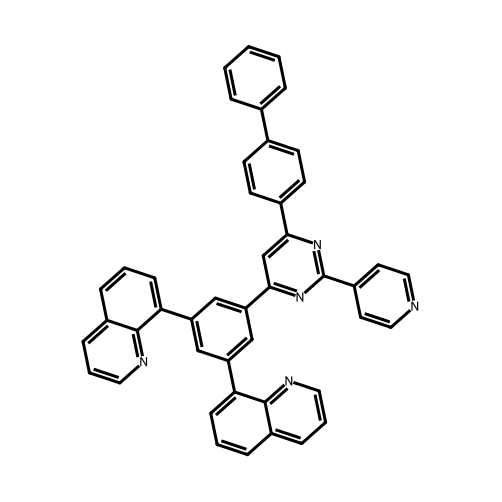 c1ccc(-c2ccc(-c3cc(-c4cc(-c5cccc6cccnc56)cc(-c5cccc6cccnc56)c4)nc(-c4ccncc4)n3)cc2)cc1